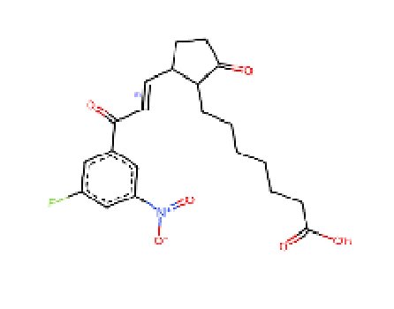 O=C(O)CCCCCCC1C(=O)CCC1/C=C/C(=O)c1cc(F)cc([N+](=O)[O-])c1